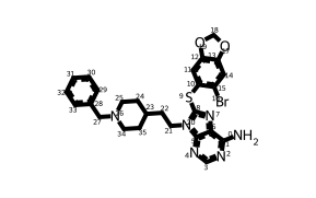 Nc1ncnc2c1nc(Sc1cc3c(cc1Br)OCO3)n2CCC1CCN(Cc2ccccc2)CC1